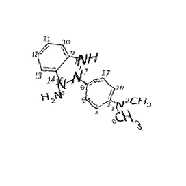 CN(C)c1ccc(N2Nc3ccccc3N2N)cc1